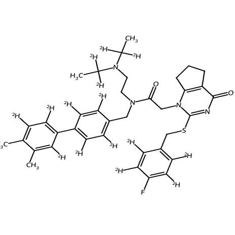 [2H]c1c([2H])c(CSc2nc(=O)c3c(n2CC(=O)N(CCN(C([2H])([2H])C)C([2H])([2H])C)Cc2c([2H])c([2H])c(-c4c([2H])c([2H])c(C(F)(F)F)c(C)c4[2H])c([2H])c2[2H])CCC3)c([2H])c([2H])c1F